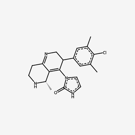 Cc1cc(C2CN=C3CCN[C@@H](C)C3=C2n2cc[nH]c2=O)cc(C)c1Cl